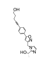 C[C@H](O)c1nccn1Cc1cc(-c2ccc(C#CCCCO)cc2)on1